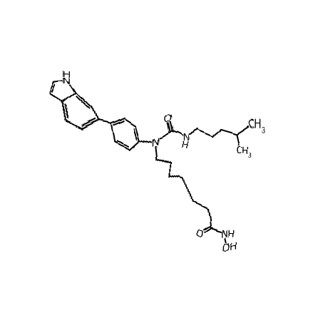 CC(C)CCCNC(=O)N(CCCCCCC(=O)NO)c1ccc(-c2ccc3cc[nH]c3c2)cc1